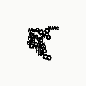 COc1ccc(C(OC[C@H]2O[C@@H](n3c(=O)[nH]c4c(NC(=O)Nc5ccc6ccccc6c5)ncnc43)C[C@@H]2O[P@]2O[C@H](CS(=O)(=O)c3ccccc3)[C@@H]3CCCN32)(c2ccccc2)c2ccc(OC)cc2)cc1